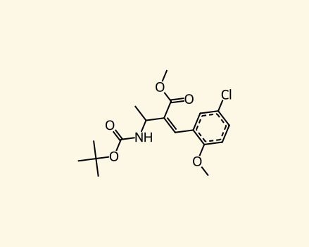 COC(=O)C(=Cc1cc(Cl)ccc1OC)C(C)NC(=O)OC(C)(C)C